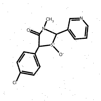 CN1C(=O)C(c2ccc(Cl)cc2)[S+]([O-])C1c1cccnc1